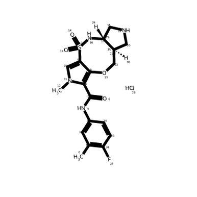 Cc1cc(NC(=O)c2c3c(cn2C)S(=O)(=O)N[C@@H]2CNC[C@H]2CO3)ccc1F.Cl